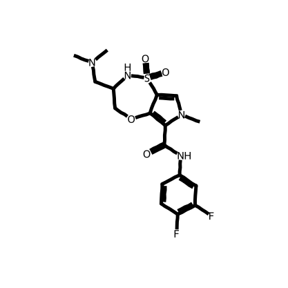 CN(C)CC1COc2c(cn(C)c2C(=O)Nc2ccc(F)c(F)c2)S(=O)(=O)N1